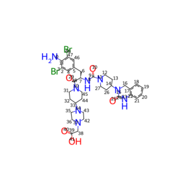 Nc1c(Br)cc(C[C@@H](NC(=O)N2CCC(N3Cc4ccccc4NC3=O)CC2)C(=O)N2CCC(N3CCN(CC(=O)O)CC3)CC2)cc1Br